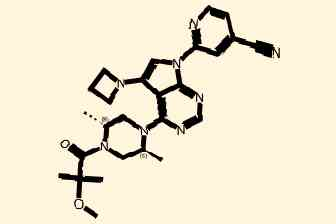 COC(C)(C)C(=O)N1C[C@H](C)N(c2ncnc3c2c(N2CCC2)cn3-c2cc(C#N)ccn2)C[C@H]1C